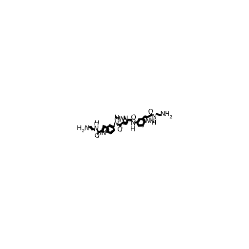 NCCNC(=O)c1cc2cc(NC(=O)c3cc(C(=O)Nc4ccc5[nH]c(C(=O)NCCN)cc5c4)[nH]n3)ccc2[nH]1